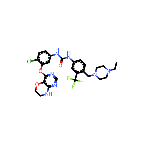 CCN1CCN(Cc2ccc(NC(=O)Nc3ccc(Cl)c(Oc4ncnc5c4OCCN5)c3)cc2C(F)(F)F)CC1